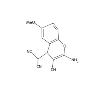 COc1ccc2c(c1)C(C(C#N)C#N)C(C#N)=C(N)O2